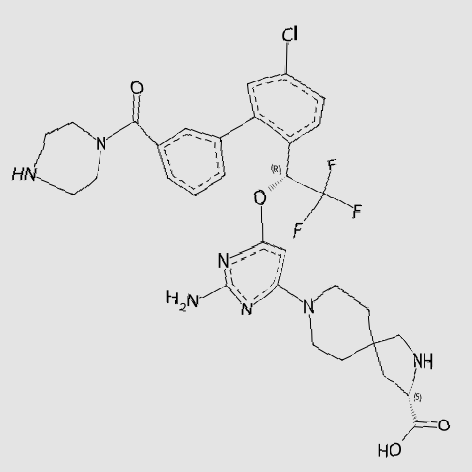 Nc1nc(O[C@H](c2ccc(Cl)cc2-c2cccc(C(=O)N3CCNCC3)c2)C(F)(F)F)cc(N2CCC3(CC2)CN[C@H](C(=O)O)C3)n1